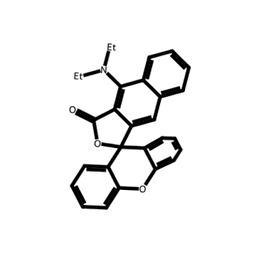 CCN(CC)c1c2c(cc3ccccc13)C1(OC2=O)c2ccccc2Oc2ccccc21